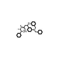 CCC(CC(=O)N(C)[C@H](C)[C@@H](O)c1ccccc1)c1cccc(N(Cc2ccccc2)Cc2ccccc2)c1